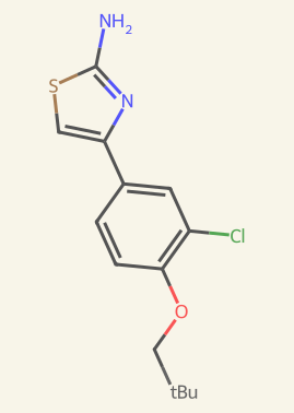 CC(C)(C)COc1ccc(-c2csc(N)n2)cc1Cl